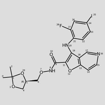 CC1(C)OC[C@H](CONC(=O)c2oc3ccncc3c2Nc2ccc(I)cc2F)O1